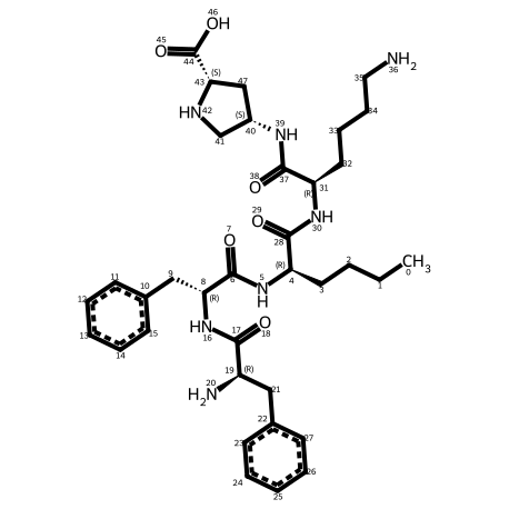 CCCC[C@@H](NC(=O)[C@@H](Cc1ccccc1)NC(=O)[C@H](N)Cc1ccccc1)C(=O)N[C@H](CCCCN)C(=O)N[C@@H]1CN[C@H](C(=O)O)C1